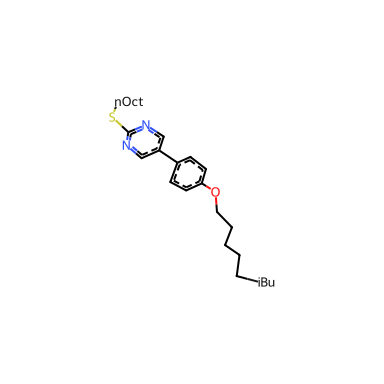 CCCCCCCCSc1ncc(-c2ccc(OCCCCCC(C)CC)cc2)cn1